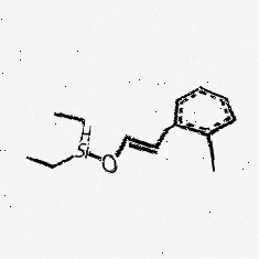 CC[SiH](CC)OC=Cc1ccccc1C